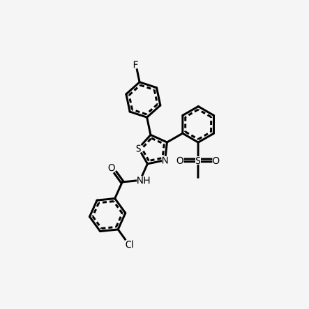 CS(=O)(=O)c1ccccc1-c1nc(NC(=O)c2cccc(Cl)c2)sc1-c1ccc(F)cc1